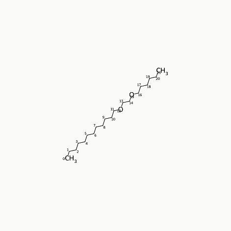 CCCCCCCCCCCCOCCOCCCCCC